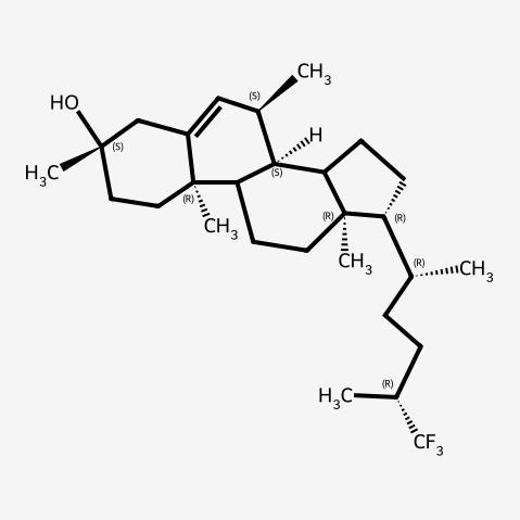 C[C@@H]1C=C2C[C@@](C)(O)CC[C@]2(C)C2CC[C@@]3(C)C(CC[C@@H]3[C@H](C)CC[C@@H](C)C(F)(F)F)[C@@H]21